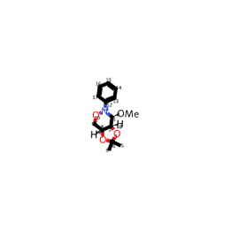 CO[C@@H]1[C@H]2OC(C)(C)O[C@H]2CON1c1ccccc1